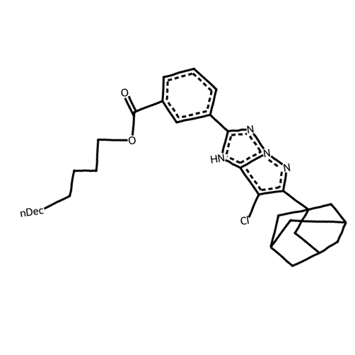 CCCCCCCCCCCCCCOC(=O)c1cccc(-c2nn3nc(C45CC6CC(CC(C6)C4)C5)c(Cl)c3[nH]2)c1